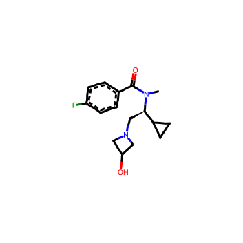 CN(C(=O)c1ccc(F)cc1)[C@H](CN1CC(O)C1)C1CC1